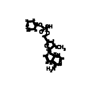 CC1CC(COP(=O)(O)OC2CCSSC2)OC1n1ccc2c(N)ncnc21